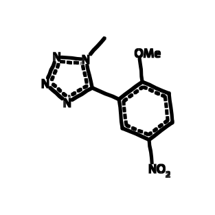 COc1ccc([N+](=O)[O-])cc1-c1nnnn1C